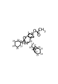 CC(=O)Oc1ccc([C@H](CCN2C3CCCC2CC3)NC(=O)C2CCCCC2)s1